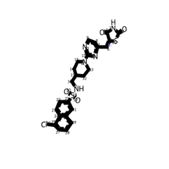 O=C1NC(=O)/C(=C\c2ccnc(N3CCC(CNS(=O)(=O)c4ccc5c(Cl)cccc5c4)CC3)n2)S1